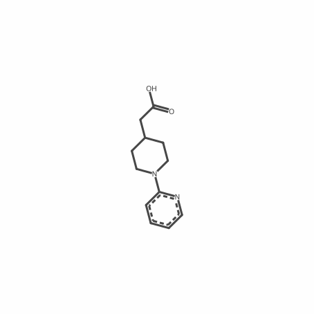 O=C(O)CC1CCN(c2ccccn2)CC1